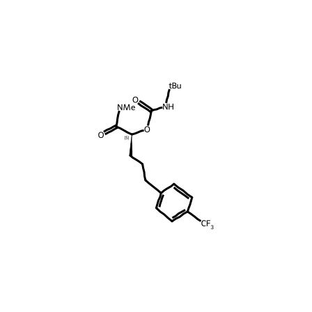 CNC(=O)[C@H](CCCc1ccc(C(F)(F)F)cc1)OC(=O)NC(C)(C)C